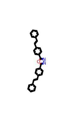 C(=Cc1ccc(-c2nnc(-c3ccc(C=Cc4ccccc4)cc3)o2)cc1)c1ccccc1